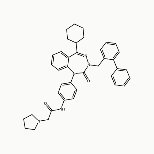 O=C(CN1CCCC1)Nc1ccc(N2C(=O)N(Cc3ccccc3-c3ccccc3)N=C(C3CCCCC3)c3ccccc32)cc1